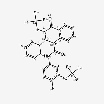 O=C(Nc1ccc(F)c(OC(F)(F)F)c1)[C@@H]1c2ccccc2C(=O)N(CC(F)(F)F)[C@H]1C1C=NC=CC1